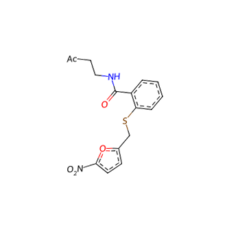 CC(=O)CCNC(=O)c1ccccc1SCc1ccc([N+](=O)[O-])o1